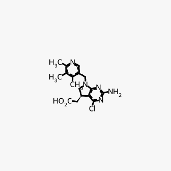 Cc1ncc(CN2C[C@H](CC(=O)O)c3c(Cl)nc(N)nc32)c(C)c1C